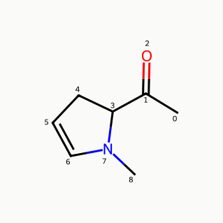 CC(=O)C1CC=CN1C